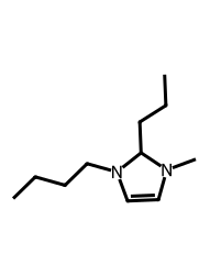 CCCCN1C=CN(C)C1CCC